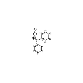 S=C=NC(c1ccccc1)c1ccccc1